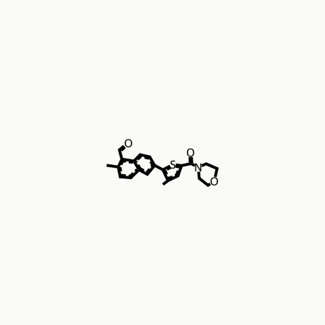 Cc1cc(C(=O)N2CCOCC2)sc1-c1ccc2c(C=O)c(C)ccc2c1